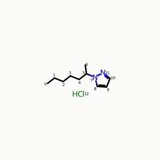 CCCCCC(C)n1cccn1.Cl